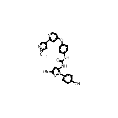 Cn1cc(-c2cc(Oc3ccc(NC(=O)Nc4cc(C(C)(C)C)nn4-c4ccc(C#N)cc4)cc3)ccn2)cn1